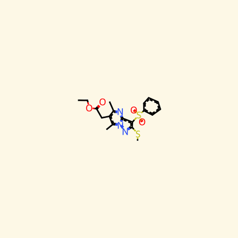 CCOC(=O)Cc1c(C)nc2c(S(=O)(=O)c3ccccc3)c(SC)nn2c1C